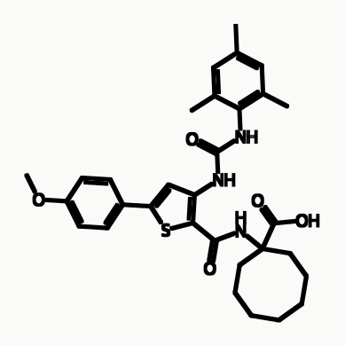 COc1ccc(-c2cc(NC(=O)Nc3c(C)cc(C)cc3C)c(C(=O)NC3(C(=O)O)CCCCCCC3)s2)cc1